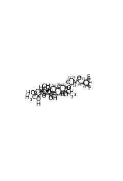 C[C@@H]1CC([C@H](O)C(C)(C)O)OC2C1[C@@]1(C)CCC34C[C@@]35CC[C@H](OC3CN(C(=O)Cc6cc(F)cc(F)c6)CCO3)C(C)(C)[C@@H]5CC[C@H]4[C@]1(C)[C@H]2O